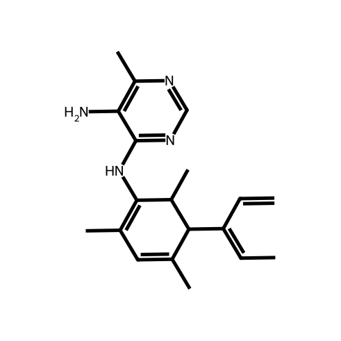 C=C/C(=C\C)C1C(C)=CC(C)=C(Nc2ncnc(C)c2N)C1C